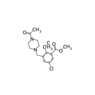 COC(=O)c1cc(Cl)cc(CN2CCN(C(C)=O)CC2)c1OC